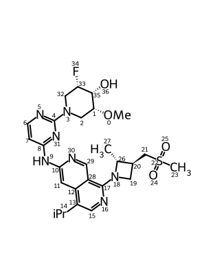 CO[C@@H]1CN(c2nccc(Nc3cc4c(C(C)C)cnc(N5C[C@H](CS(C)(=O)=O)[C@H]5C)c4cn3)n2)C[C@H](F)[C@@H]1O